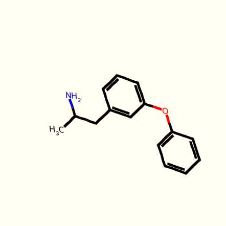 CC(N)Cc1cccc(Oc2ccccc2)c1